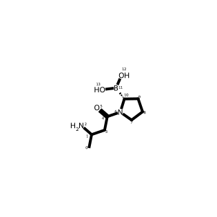 CC(N)CC(=O)N1CCC[C@H]1B(O)O